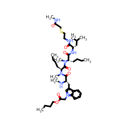 CCCCOC(=O)Cn1cc(C[C@H](NC)C(=O)N(C)[C@@H](CCCC)C(=O)N(C)[C@@H](CCCC)C(=O)N[C@@H](CC(C)C)C(=O)NCCSCC(=O)NC)c2ccccc21